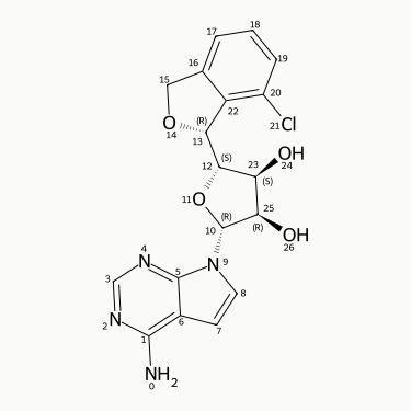 Nc1ncnc2c1ccn2[C@@H]1O[C@H]([C@@H]2OCc3cccc(Cl)c32)[C@@H](O)[C@H]1O